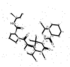 CC[C@H](C)NC(=O)[C@@H]1CCCN1C(=O)/C(C)=C/[C@H](C(C)C)N(C)C(=O)[C@@H](NC(=O)[C@H]1CCCCN1C(C)C)C(C)(C)C